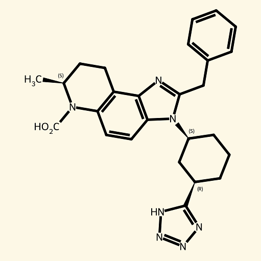 C[C@H]1CCc2c(ccc3c2nc(Cc2ccccc2)n3[C@H]2CCC[C@@H](c3nnn[nH]3)C2)N1C(=O)O